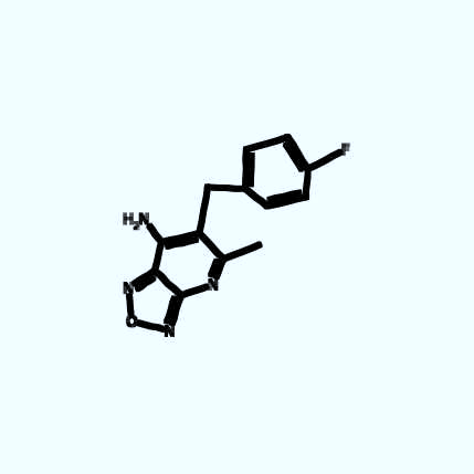 Cc1nc2nonc2c(N)c1Cc1ccc(F)cc1